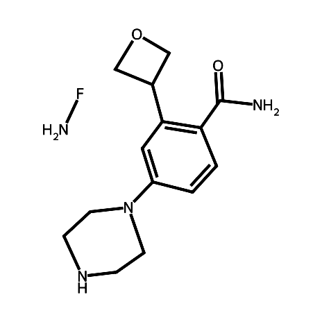 NC(=O)c1ccc(N2CCNCC2)cc1C1COC1.NF